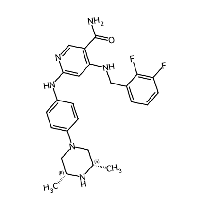 C[C@@H]1CN(c2ccc(Nc3cc(NCc4cccc(F)c4F)c(C(N)=O)cn3)cc2)C[C@H](C)N1